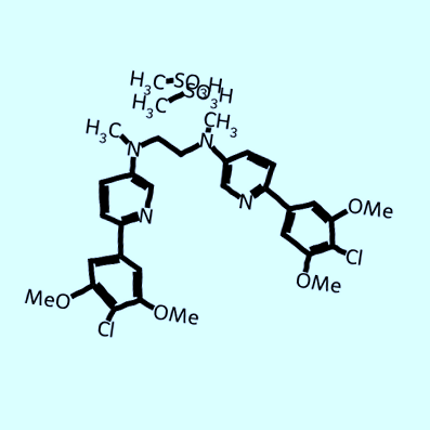 COc1cc(-c2ccc(N(C)CCN(C)c3ccc(-c4cc(OC)c(Cl)c(OC)c4)nc3)cn2)cc(OC)c1Cl.CS(=O)(=O)O.CS(=O)(=O)O